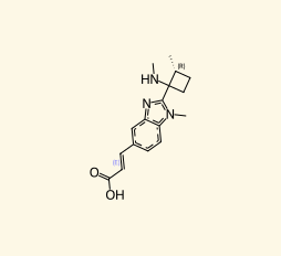 CNC1(c2nc3cc(/C=C/C(=O)O)ccc3n2C)CC[C@H]1C